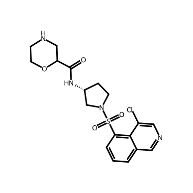 O=C(N[C@@H]1CCN(S(=O)(=O)c2cccc3cncc(Cl)c23)C1)C1CNCCO1